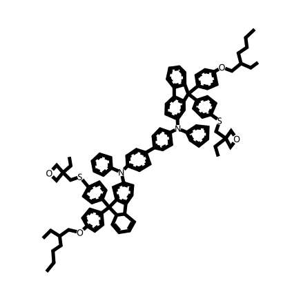 CCCCC(CC)COc1ccc(C2(c3ccc(SCC4(CC)COC4)cc3)c3ccccc3-c3ccc(N(c4ccccc4)c4ccc(-c5ccc(N(c6ccccc6)c6ccc7c(c6)C(c6ccc(OCC(CC)CCCC)cc6)(c6ccc(SCC8(CC)COC8)cc6)C6C=CC=CC76)cc5)cc4)cc32)cc1